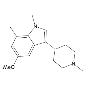 COc1cc(C)c2c(c1)c(C1CCN(C)CC1)cn2C